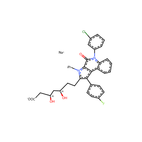 CC(C)n1c(CC[C@@H](O)C[C@@H](O)CC(=O)[O-])c(-c2ccc(F)cc2)c2c3ccccc3n(-c3cccc(Cl)c3)c(=O)c21.[Na+]